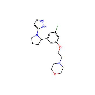 Fc1cc(OCCN2CCOCC2)cc(C2CCCN2c2ccn[nH]2)c1